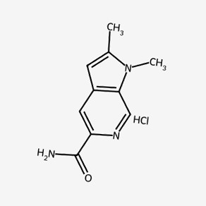 Cc1cc2cc(C(N)=O)ncc2n1C.Cl